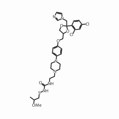 COC(C)CSNC(=O)NCCN1CCN(c2ccc(OCC3COC(Cn4ccnc4)(c4ccc(Cl)cc4Cl)O3)cc2)CC1